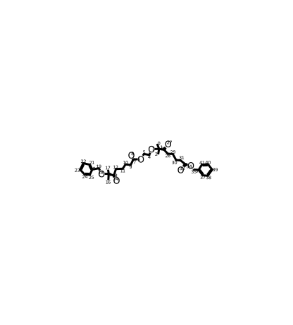 CC(C)(OCCOC(=O)CCCCC(=O)C(C)(C)OCc1ccccc1)C(=O)CCCCC(=O)OCc1ccccc1